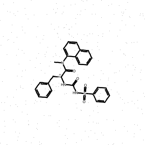 CN(C(=O)[C@H](Cc1ccccc1)NC(=O)NS(=O)(=O)c1ccccc1)c1cccc2ccccc12